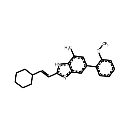 Cc1cc(-c2ccccc2OC(F)(F)F)cc2nc(/C=C/C3CCCCC3)[nH]c12